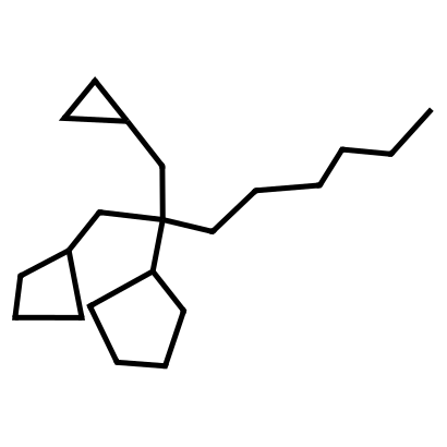 CCCCCCC(CC1CCC1)(CC1CC1)C1CCCC1